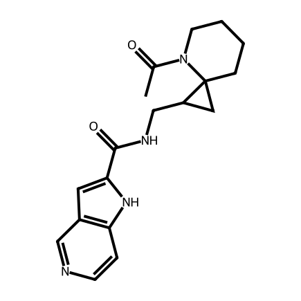 CC(=O)N1CCCCC12CC2CNC(=O)c1cc2cnccc2[nH]1